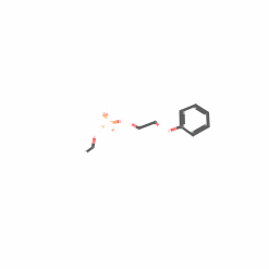 CCOP(=O)(O)OCCOc1ccccc1